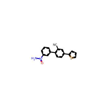 N#Cc1cc(-c2[c]ccs2)ccc1-c1cccc([N+](N)=O)c1